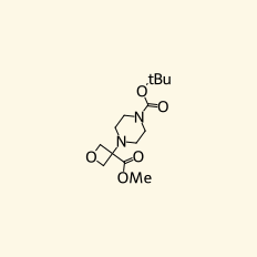 COC(=O)C1(N2CCN(C(=O)OC(C)(C)C)CC2)COC1